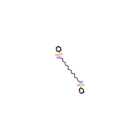 O=S(=O)(NCCCCCCCCCCCCNS(=O)(=O)c1ccccc1)c1ccccc1